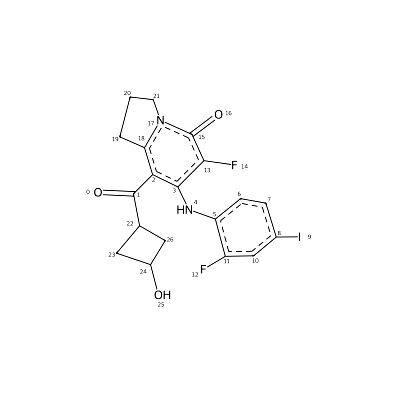 O=C(c1c(Nc2ccc(I)cc2F)c(F)c(=O)n2c1CCC2)C1CC(O)C1